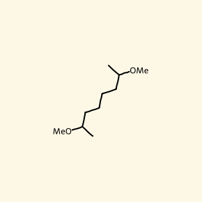 COC(C)CCCCC(C)OC